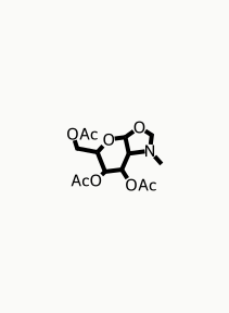 CC(=O)OCC1OC2OCN(C)C2C(OC(C)=O)C1OC(C)=O